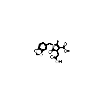 COC(=O)C1=C(C)N(Cc2ccc3c(c2)OCO3)C(=O)C1CC(=O)O